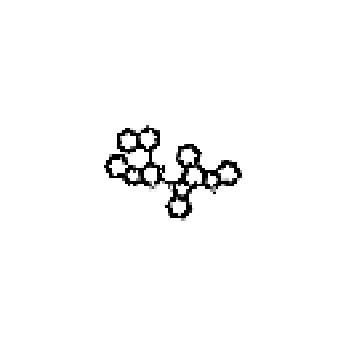 c1ccc2c(-c3nc(-n4c5ccccc5c5c6sc7ccccc7c6c6ccccc6c54)nc4sc5ccccc5c34)cccc2c1